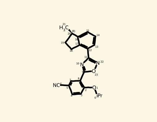 CC(C)Oc1ccc(C#N)cc1-c1nc(-c2cccc3c2CC[C@H]3C)no1